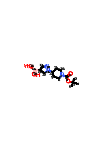 CC(C)(C)OC(=O)N1CCC(N2CC(B(O)O)C=N2)CC1